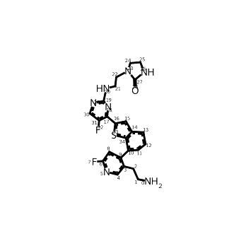 NCCc1cnc(F)cc1-c1cccc2cc(-c3nc(NCCN4CCNC4=O)ncc3F)sc12